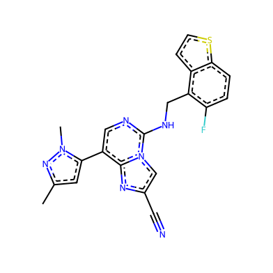 Cc1cc(-c2cnc(NCc3c(F)ccc4sccc34)n3cc(C#N)nc23)n(C)n1